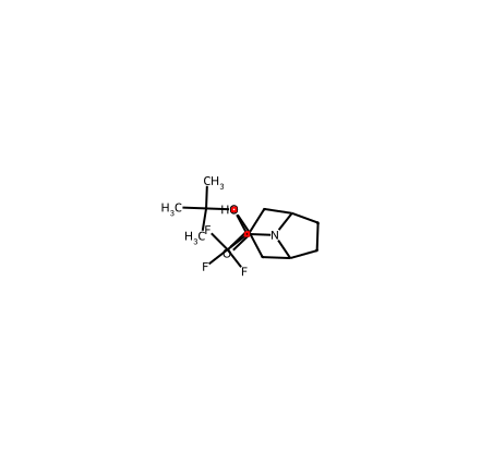 CC(C)(C)OC(=O)N1C2CCC1CC(O)(C(F)(F)F)C2